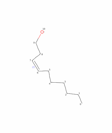 CCCCCC/C=C\CC[O]